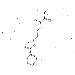 COC(=O)C(Br)CCCCOC(=O)c1ccccc1